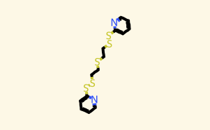 c1ccc(SSCCSCCSSc2ccccn2)nc1